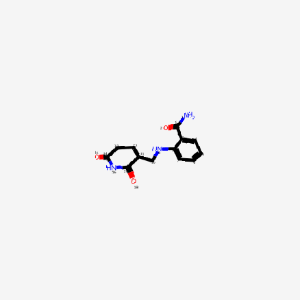 NC(=O)c1ccccc1NCC1CCC(=O)NC1=O